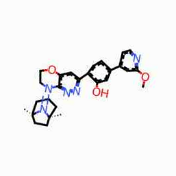 COc1cc(-c2ccc(-c3cc4c(nn3)N([C@H]3C[C@]5(C)CC[C@](C)(C3)N5)CCO4)c(O)c2)ccn1